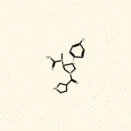 CN(C(=O)O)[C@@H]1CN(C(=O)C2CCNC2)C[C@H]1c1ccc(Cl)cc1